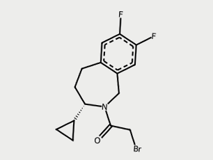 O=C(CBr)N1Cc2cc(F)c(F)cc2CC[C@H]1C1CC1